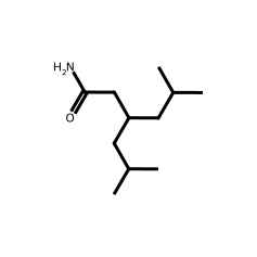 CC(C)CC(CC(N)=O)CC(C)C